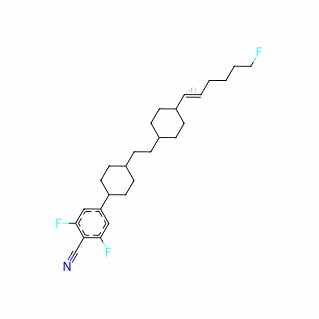 N#Cc1c(F)cc(C2CCC(CCC3CCC(/C=C/CCCCF)CC3)CC2)cc1F